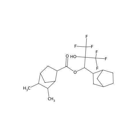 CC1C2CC(C(=O)OC(C3CC4CCC3C4)C(O)(C(F)(F)F)C(F)(F)F)C(C2)C1C